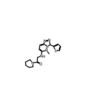 CN1C(NCC(=O)N2CCCCC2)=CC=C2N=NC(c3cccs3)N21